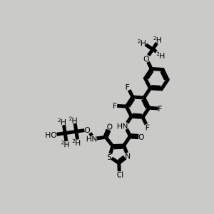 [2H]C([2H])([2H])Oc1cccc(-c2c(F)c(F)c(NC(=O)c3nc(Cl)sc3C(=O)NOC([2H])([2H])C([2H])([2H])O)c(F)c2F)c1